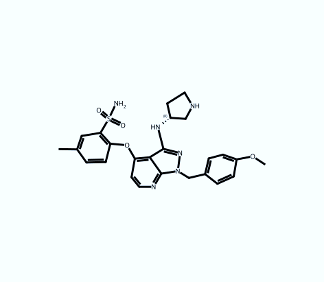 COc1ccc(Cn2nc(N[C@@H]3CCNC3)c3c(Oc4ccc(C)cc4S(N)(=O)=O)ccnc32)cc1